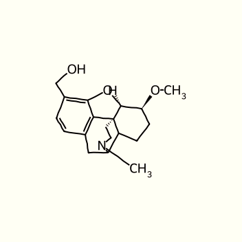 CO[C@H]1CCC2C3Cc4ccc(CO)c5c4[C@@]2(CCN3C)[C@H]1O5